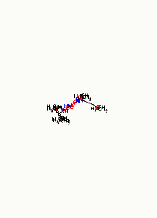 CC(C)(C)OC(=O)CCCCCCCCCCCCCCCCC(=O)NC(CCC(=O)NCCOCCOCC(=O)NCCOCCOCC(=O)NCCCc1cc(CO[Si](C)(C)C(C)(C)C)ccc1-c1ccc(CO[Si](C)(C)C(C)(C)C)cc1)C(=O)OC(C)(C)C